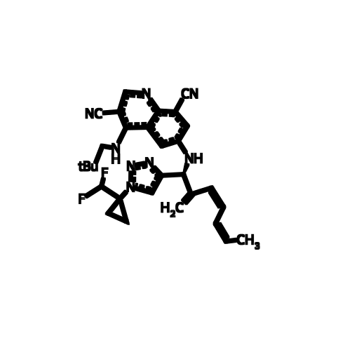 C=C(/C=C\C=C/C)[C@H](Nc1cc(C#N)c2ncc(C#N)c(NCC(C)(C)C)c2c1)c1cn(C2(C(F)F)CC2)nn1